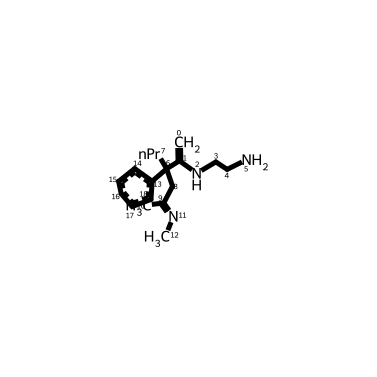 C=C(NCCN)C(CCC)(C/C(C)=N/C)c1ccccc1